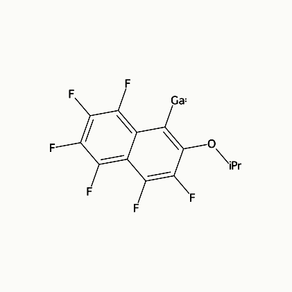 CC(C)Oc1c(F)c(F)c2c(F)c(F)c(F)c(F)c2[c]1[Ga]